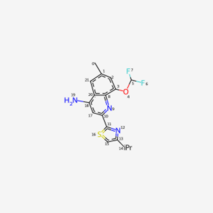 Cc1cc(OC(F)F)c2nc(-c3nc(C(C)C)cs3)cc(N)c2c1